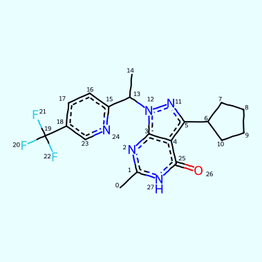 Cc1nc2c(c(C3CCCC3)nn2C(C)c2ccc(C(F)(F)F)cn2)c(=O)[nH]1